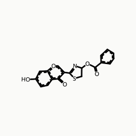 O=C(OC1CSC(c2coc3cc(O)ccc3c2=O)=N1)c1ccccc1